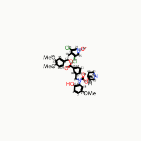 COc1ccc(O)c(N(Cc2cccc(C(=O)O[C@@H](Cc3c(Cl)c[n+]([O-])cc3Cl)c3ccc(OC)c(OC)c3)c2)C(=O)O[C@H]2CN3CCC2CC3)c1